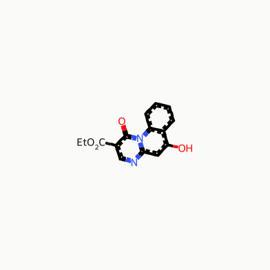 CCOC(=O)c1cnc2cc(O)c3ccccc3n2c1=O